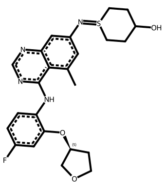 Cc1cc(N=S2CCC(O)CC2)cc2ncnc(Nc3ccc(F)cc3O[C@H]3CCOC3)c12